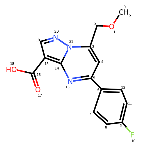 COCc1cc(-c2ccc(F)cc2)nc2c(C(=O)O)cnn12